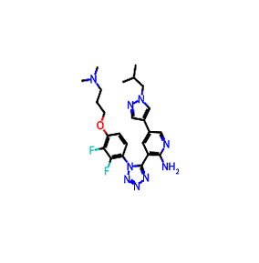 CC(C)Cn1cc(-c2cnc(N)c(-c3nnnn3-c3ccc(OCCCN(C)C)c(F)c3F)c2)cn1